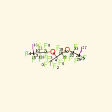 FC(F)(F)C(F)(OC(F)(F)C(F)(F)C(F)(F)I)C(F)(F)OC(F)(F)C(F)(F)I